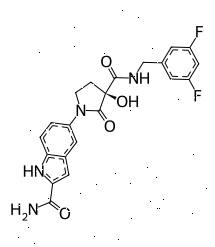 NC(=O)c1cc2cc(N3CC[C@](O)(C(=O)NCc4cc(F)cc(F)c4)C3=O)ccc2[nH]1